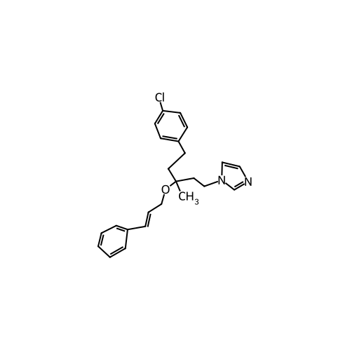 CC(CCc1ccc(Cl)cc1)(CCn1ccnc1)OC/C=C/c1ccccc1